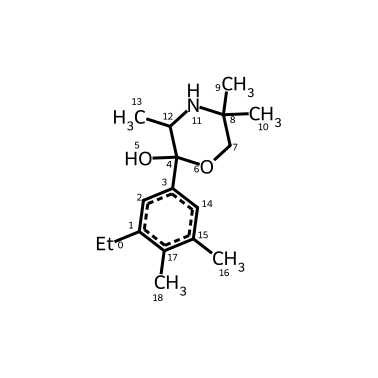 CCc1cc(C2(O)OCC(C)(C)NC2C)cc(C)c1C